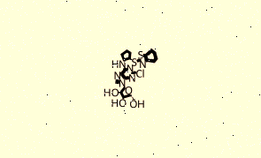 OC[C@H]1O[C@@H](n2cnc3c(N[C@@H]4CCC[C@H]4Sc4nc5ccccc5s4)nc(Cl)nc32)[C@H](O)[C@@H]1O